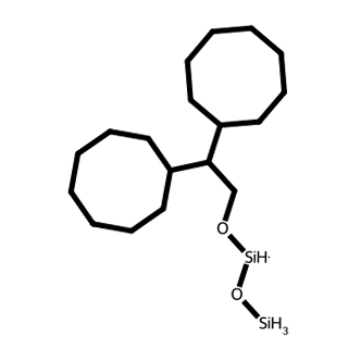 [SiH3]O[SiH]OCC(C1CCCCCCC1)C1CCCCCCC1